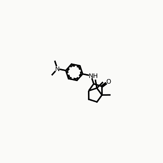 CN(C)c1ccc(NC2C(=O)C3(C)CCC2C3(C)C)cc1